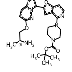 C[C@H](N)COc1ccc2ncc(-c3cc4c(N5CCN(C(=O)OC(C)(C)C)CC5)nccc4o3)n2n1